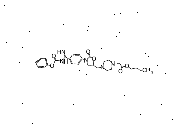 CCCCOC(=O)CN1CCN(CC2CN(c3ccc(C(=N)NC(=O)Oc4ccccc4)cc3)C(=O)O2)CC1